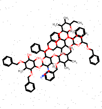 CCC1OC(OC2C(OCC3OC(OC4C(COCc5ccccc5)OC(OC5C(O)C(O)C(OCc6ccccc6)C(C)C5OCc5ccccc5)C(N=[N+]=[N-])C4C)C(OCc4ccccc4)C(C)C3C)OC(COCc3ccccc3)C(C)C2C)C(OC2OC(COCc3ccccc3)C(C)C(C)C2OCc2ccccc2)C(C)C1C